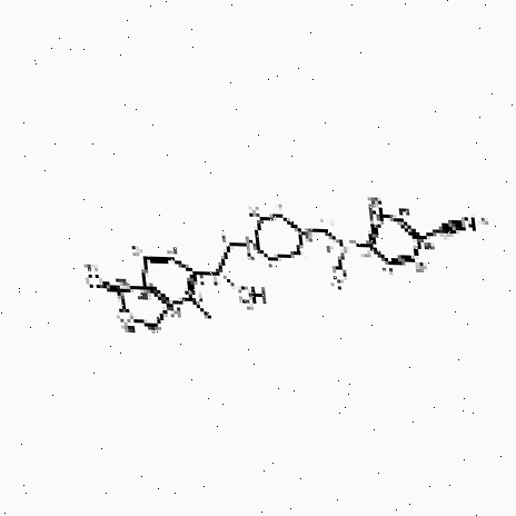 Cc1c([C@@H](O)CN2CCC(C[S+]([O-])c3ccc(C#N)cn3)CC2)ccc2c1COC2=O